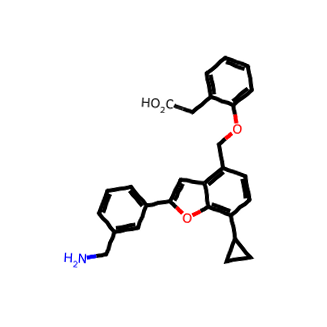 NCc1cccc(-c2cc3c(COc4ccccc4CC(=O)O)ccc(C4CC4)c3o2)c1